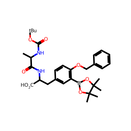 CC(NC(=O)OC(C)(C)C)C(=O)NC(Cc1ccc(OCc2ccccc2)c(B2OC(C)(C)C(C)(C)O2)c1)C(=O)O